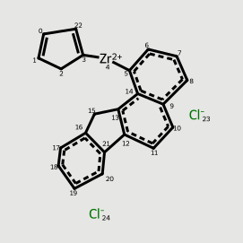 C1=CC[C]([Zr+2][c]2cccc3ccc4c(c23)Cc2ccccc2-4)=C1.[Cl-].[Cl-]